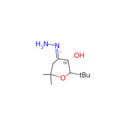 CC1(C)C/C(=N\N)[C@H](O)C(C(C)(C)C)O1